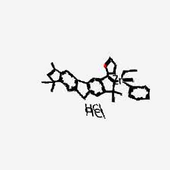 Cl.Cl.[CH2]=[Zr]([CH2]C)([C]1=CC=CC1)([C]1=C(C)c2cc3c(cc2C1(C)C)Cc1cc2c(cc1-3)C(C)=CC2(C)C)[c]1ccccc1